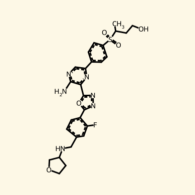 CC(CCO)S(=O)(=O)c1ccc(-c2cnc(N)c(-c3nnc(-c4ccc(CNC5CCOC5)cc4F)o3)n2)cc1